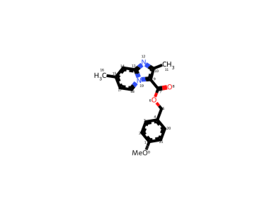 COc1ccc(COC(=O)c2c(C)nc3cc(C)ccn23)cc1